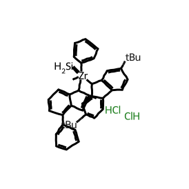 CC1=Cc2c(-c3ccccc3)cccc2[CH]1[Zr]([CH3])(=[SiH2])([c]1ccccc1)[CH]1c2cc(C(C)(C)C)ccc2-c2ccc(C(C)(C)C)cc21.Cl.Cl